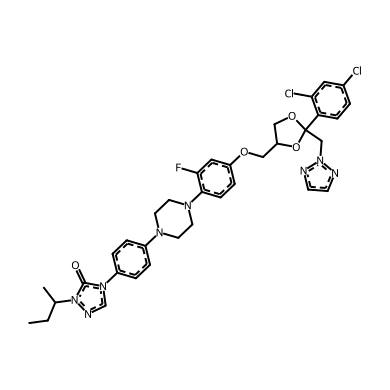 CCC(C)n1ncn(-c2ccc(N3CCN(c4ccc(OCC5COC(Cn6nccn6)(c6ccc(Cl)cc6Cl)O5)cc4F)CC3)cc2)c1=O